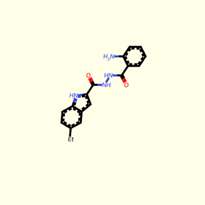 CCc1ccc2[nH]c(C(=O)NNC(=O)c3ccccc3N)cc2c1